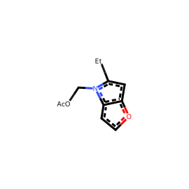 CCc1cc2occc2n1COC(C)=O